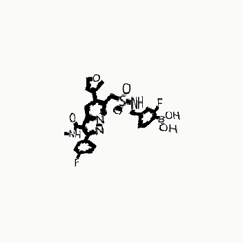 CNC(=O)c1c(-c2ccc(F)cc2)nn2cc(CS(=O)(=O)NCc3ccc(B(O)O)c(F)c3)c(-c3ccoc3)cc12